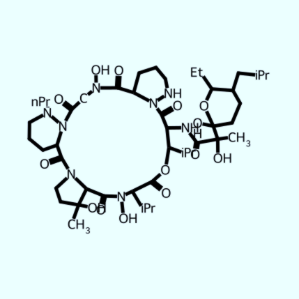 CCCN1CCCC2C(=O)N3CCC(C)(O)C3C(=O)N(O)C(C(C)C)C(=O)OC(C(C)C)C(NC(=O)C(C)(O)C3(O)CCC(CC(C)C)C(CC)O3)C(=O)N3NCCCC3C(=O)N(O)CC(=O)N21